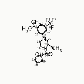 CC(C)c1[c]c(C(F)(F)F)cc(N2CCN(C(=O)c3ccco3)C(C)C2)c1